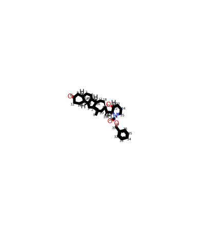 CC1=C2C[C@H]3C(CC[C@@H]4CC(=O)CC[C@@]43C)[C@@H]2CC[C@@]2(C1)O[C@@H]1CCCN(C(=O)OCc3ccccc3)[C@H]1[C@H]2C